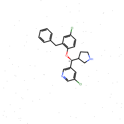 Clc1cncc([C@@H](Oc2ccc(Cl)cc2Cc2ccccc2)C2CCNC2)c1